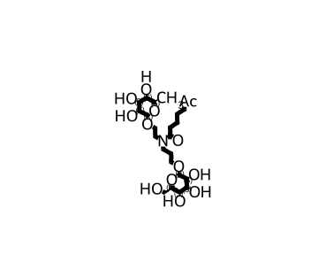 CC(=O)CCCCC(=O)N(CCCO[C@@H]1O[C@H](CO)[C@@H](O)[C@H](O)[C@@H]1O)CCO[C@@H]1O[C@@H](C)[C@@H](O)[C@@H](O)[C@@H]1O